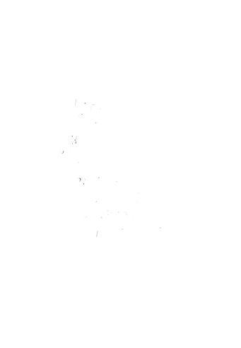 CCCc1cc2cc(-c3ccc(C(=O)N4CCC(F)(F)CC4)cn3)cc(C(F)(F)F)c2o1